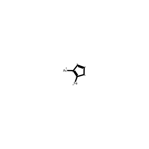 CC(=O)C1=[C]([Fe])CC=C1